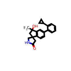 O=C1CC2(CN1)CC(O)(C(F)(F)F)c1cc(-c3ccccc3C3CC3)ccc12